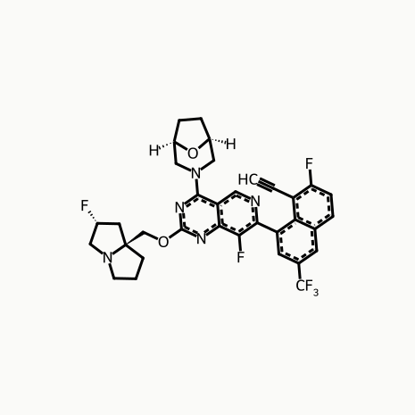 C#Cc1c(F)ccc2cc(C(F)(F)F)cc(-c3ncc4c(N5C[C@H]6CC[C@@H](C5)O6)nc(OC[C@@]56CCCN5C[C@H](F)C6)nc4c3F)c12